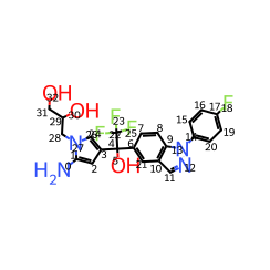 Nc1cc(C(O)(c2ccc3c(cnn3-c3ccc(F)cc3)c2)C(F)(F)F)cn1CC(O)CO